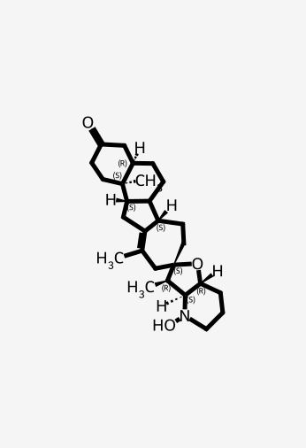 CC1=C2C[C@H]3C(CC[C@@H]4CC(=O)CC[C@@]43C)[C@@H]2CC[C@@]2(C1)O[C@@H]1CCCN(O)[C@H]1[C@H]2C